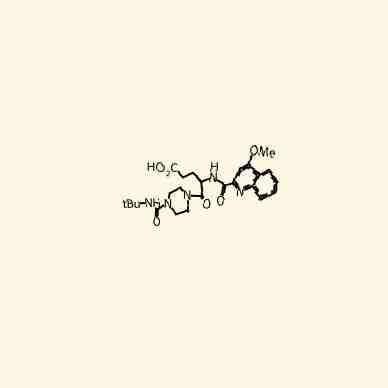 COc1cc(C(=O)NC(CCC(=O)O)C(=O)N2CCN(C(=O)NC(C)(C)C)CC2)nc2ccccc12